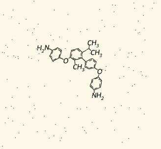 Cc1c(Oc2ccc(N)cc2)ccc(C(C)C)c1-c1ccc(Oc2ccc(N)cc2)cc1